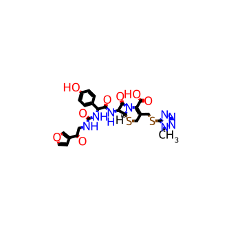 Cn1nnnc1SCC1=C(C(=O)O)N2C(=O)C(NC(=O)C(NC(=O)NCC(=O)c3ccoc3)c3ccc(O)cc3)[C@@H]2SC1